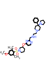 COc1cc(C)c(S(=O)(=O)N2CCCC(Oc3ccnc(CNCCN4CCC(c5ccccc5)(N5CCCC5)CC4)n3)C2)c(C)c1